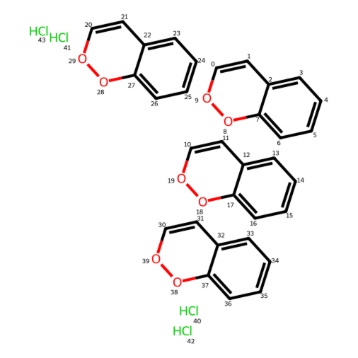 C1=Cc2ccccc2OO1.C1=Cc2ccccc2OO1.C1=Cc2ccccc2OO1.C1=Cc2ccccc2OO1.Cl.Cl.Cl.Cl